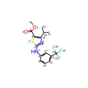 COC(=O)c1sc(Nc2cccc(C(F)(F)F)c2)nc1C(C)C